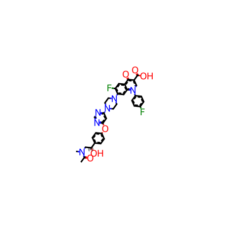 CC(=O)N(C)C[C@H](O)c1ccc(Oc2cc(N3CCN(c4cc5c(cc4F)c(=O)c(C(=O)O)cn5-c4ccc(F)cc4)CC3)ncn2)cc1